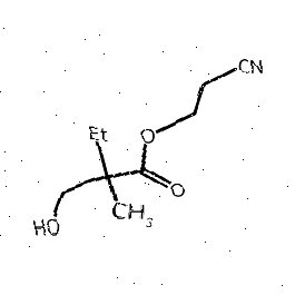 CCC(C)(CO)C(=O)OCCC#N